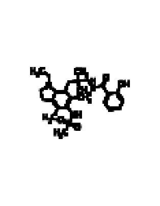 CCN1CCc2c(C)c(NS(C)(=O)=O)c(C)c(CC(C)(C)CNC(=O)c3ccccc3O)c21